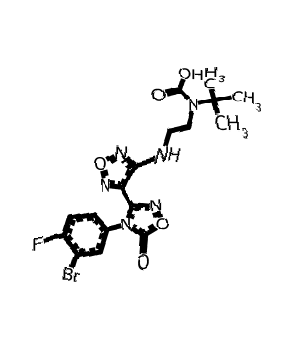 CC(C)(C)N(CCNc1nonc1-c1noc(=O)n1-c1ccc(F)c(Br)c1)C(=O)O